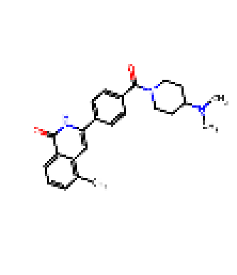 Cc1cccc2c(=O)[nH]c(-c3ccc(C(=O)N4CCC(N(C)C)CC4)cc3)cc12